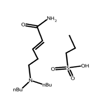 CCCCN(CCC=CC(N)=O)CCCC.CCCS(=O)(=O)O